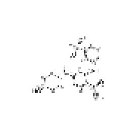 CS(=O)(=O)c1cccc(Nc2nc(N[C@H]3CC[C@H](O)CC3)cnc2C(N)=O)c1